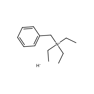 CC[N+](CC)(CC)Cc1ccccc1.[H-]